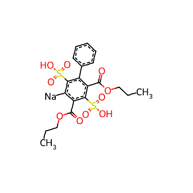 CCCOC(=O)c1[c]([Na])c(S(=O)(=O)O)c(-c2ccccc2)c(C(=O)OCCC)c1S(=O)(=O)O